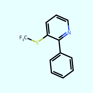 FC(F)(F)Sc1cccnc1-c1ccccc1